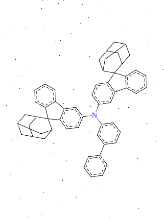 c1ccc(-c2cccc(N(c3ccc4c(c3)-c3ccccc3C43C4CC5CC(C4)CC3C5)c3ccc4c(c3)-c3ccccc3C43C4CC5CC(C4)CC3C5)c2)cc1